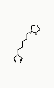 c1cnn(CCCCC[C@@H]2CCSS2)c1